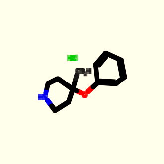 Cl.O=C(O)C1(Oc2ccccc2)CCNCC1